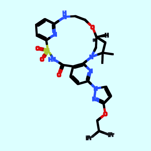 CC(C)C(COc1ccn(-c2ccc3c(n2)N2C[C@@H](CC2(C)C)OCCNc2cccc(n2)S(=O)(=O)NC3=O)n1)C(C)C